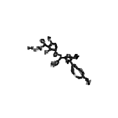 N#Cc1ccc(-c2nc(C(O)COc3ccc(F)c(C(N)=O)c3F)oc2Br)cn1